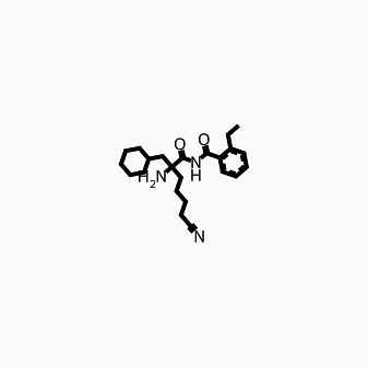 CCc1ccccc1C(=O)NC(=O)C(N)(CCCCC#N)CC1CCCCC1